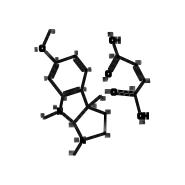 COc1ccc2c(c1)N(C)C1N(C)CCC21C.O=C(O)/C=C\C(=O)O